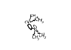 C/C=C/CN(C/C=C/C)C(=O)c1cccc(C(=O)N(C/C=C/C)C/C=C/C)c1